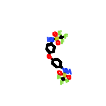 O=S(=O)(Nc1ccc(Oc2ccc(NS(=O)(=O)C(F)(F)F)cc2)cc1)C(F)(F)F